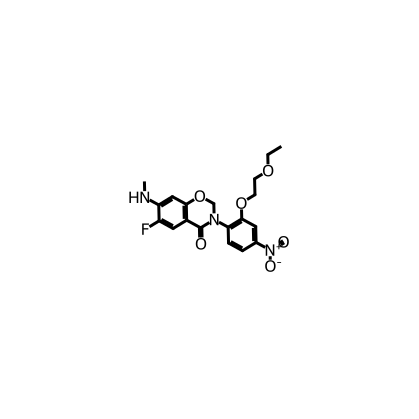 CCOCCOc1cc([N+](=O)[O-])ccc1N1COc2cc(NC)c(F)cc2C1=O